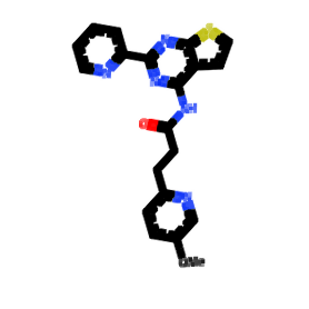 COc1ccc(CCC(=O)Nc2nc(-c3ccccn3)nc3sccc23)nc1